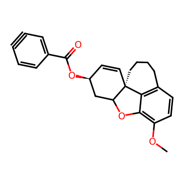 COc1ccc2c3c1OC1C[C@@H](OC(=O)c4cc#ccc4)C=C[C@@]31CCCC2